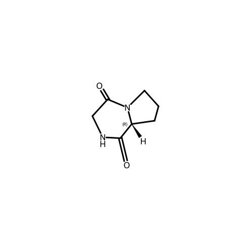 O=C1NCC(=O)N2CCC[C@H]12